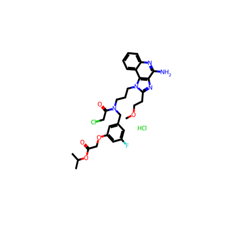 COCCc1nc2c(N)nc3ccccc3c2n1CCCN(Cc1cc(F)cc(OCC(=O)OC(C)C)c1)C(=O)CCl.Cl